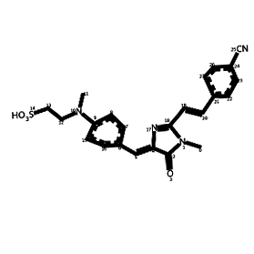 CN1C(=O)/C(=C/c2ccc(N(C)CCS(=O)(=O)O)cc2)N=C1/C=C/c1ccc(C#N)cc1